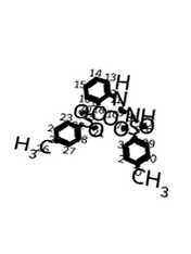 Cc1ccc(S(=O)(=O)NC(=O)Nc2ccccc2OS(=O)(=O)c2ccc(C)cc2)cc1